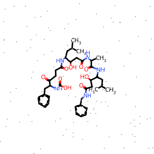 CC(C)CC(NC(=O)CCC(=O)C(Cc1ccccc1)NC(=O)O)C(O)CC(=O)NC(C)C(=O)NC(CC(C)C)C(O)CC(=O)NCc1ccccc1